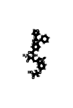 Cn1cc(CC(NC(=O)c2ccc3c(c2)nc(-c2ccoc2)n3C2CCCCC2)C(N)=O)c2cc(OC(C)(C)C(=O)O)ccc21